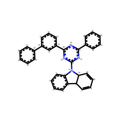 C1=CC2c3ccccc3N(c3nc(-c4ccccc4)nc(-c4cccc(-c5ccccc5)c4)n3)C2C=C1